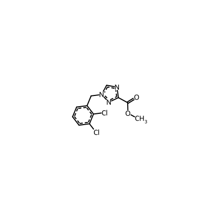 COC(=O)c1ncn(Cc2cccc(Cl)c2Cl)n1